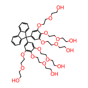 OCCOCCOc1cc(C2(c3cc(OCCOCCO)c(OCCOCCO)c(OCCOCCO)c3)c3ccccc3-c3ccccc32)cc(OCCOCCO)c1OCCOCCO